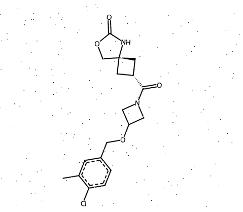 Cc1cc(COC2CN(C(=O)[C@H]3C[C@]4(COC(=O)N4)C3)C2)ccc1Cl